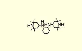 CC1(C)CC(NC2CCCCC2NC2CC(C)(C)NC(C)(C)C2)CC(C)(C)N1